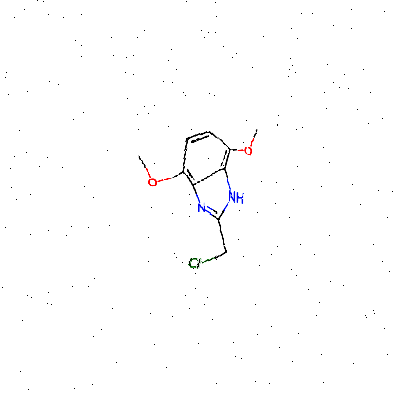 COc1ccc(OC)c2[nH]c(CCl)nc12